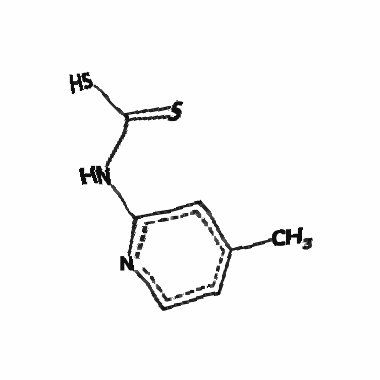 Cc1ccnc(NC(=S)S)c1